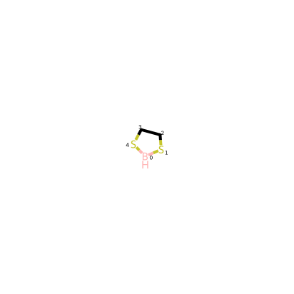 B1SCCS1